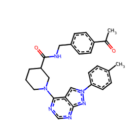 CC(=O)c1ccc(CNC(=O)C2CCCN(c3ncnc4nn(-c5ccc(C)cc5)cc34)C2)cc1